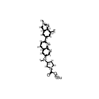 CN(c1cnc2nc(-c3cc(F)c4nn(C)cc4c3)ccc2c1)C1CCN(C(=O)OC(C)(C)C)C1